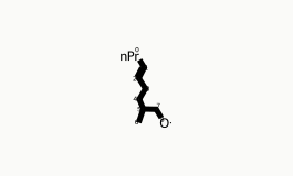 CCCC=CCCC(C)C[O]